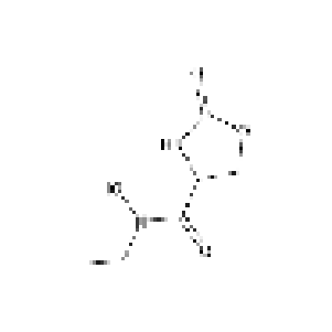 CCN(O)C(=O)C1COC(=O)N1